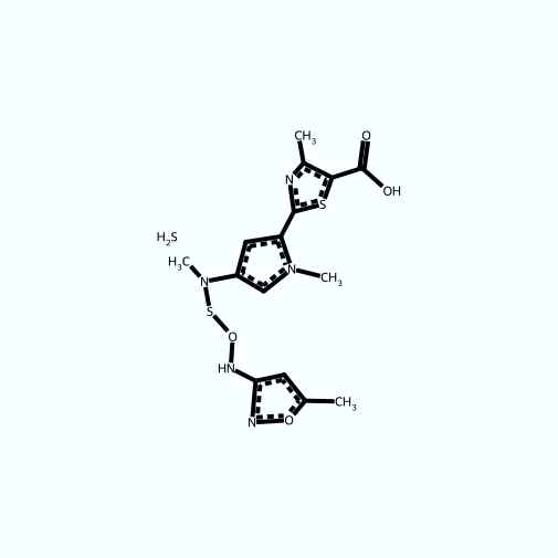 Cc1cc(NOSN(C)c2cc(-c3nc(C)c(C(=O)O)s3)n(C)c2)no1.S